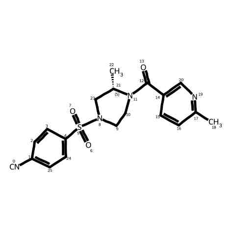 [C-]#[N+]c1ccc(S(=O)(=O)N2CCN(C(=O)c3ccc(C)nc3)[C@@H](C)C2)cc1